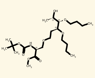 CCCCO[C@@H]([C@H](C)O)[C@H](CCOC[C@H](NC(=O)OC(C)(C)C)C(=O)OC)OCCCC